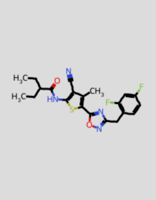 CCC(CC)C(=O)Nc1sc(-c2nc(Cc3ccc(F)cc3F)no2)c(C)c1C#N